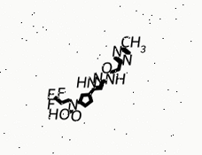 Cc1cnc(CC(=O)Nc2cc(C3CCC(N(CCC(F)(F)F)C(=O)O)C3)[nH]n2)cn1